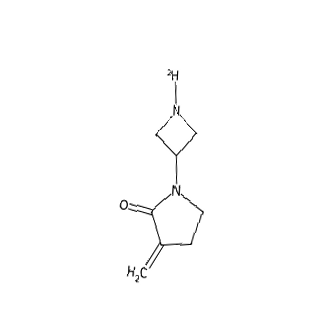 [2H]N1CC(N2CCC(=C)C2=O)C1